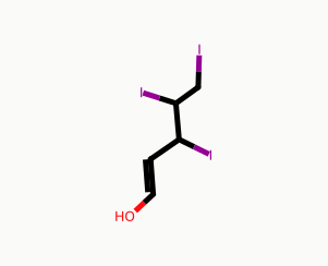 OC=CC(I)C(I)CI